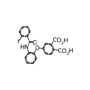 O=C(Nc1ccccc1Oc1ccc(C(=O)O)c(C(=O)O)c1)c1ccccc1I